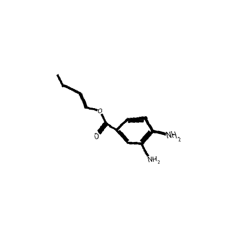 CCCCOC(=O)c1ccc(N)c(N)c1